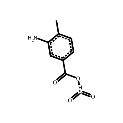 Cc1ccc(C(=O)O[SH](=O)=O)cc1N